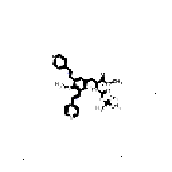 COC(=O)C(Cc1cc(/C=C/c2ccncc2)c(ON)c(/C=C/c2ccncc2)c1)NC(=O)OC(C)(C)C